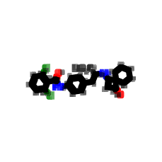 CCOC(=O)[C@H](Cc1ccc(NC(=O)c2c(Cl)cccc2Cl)cc1)NC1=CC(=O)C12CCCCC2